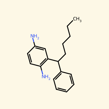 CCCCCC(c1ccccc1)c1cc(N)ccc1N